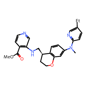 CCc1ccc(N(C)c2ccc3c(c2)OCC[C@H]3CNc2cnccc2C(=O)OC)nc1